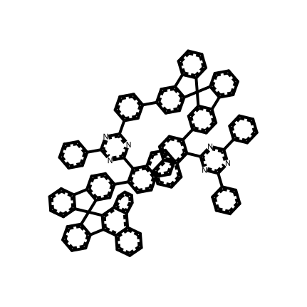 c1ccc(-c2nc(-c3ccccc3)nc(-c3c(-c4ccc5c(c4)C4(c6ccccc6-c6cc(-c7cccc(-c8nc(-c9ccccc9)nc(-c9c(-c%10ccc%11c(c%10)C%10(c%12ccccc%12-%11)c%11ccccc%11-c%11c%10c%10ccccc%10c%10ccccc%11%10)ccc%10ccccc9%10)n8)c7)ccc64)c4ccccc4-5)ccc4ccccc34)n2)cc1